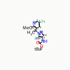 COc1ncc(F)cc1[C@H](C)n1ncc(NC(=O)OC(C)(C)C)c1F